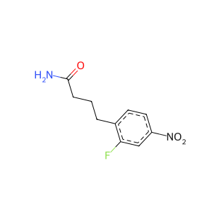 NC(=O)CCCc1ccc([N+](=O)[O-])cc1F